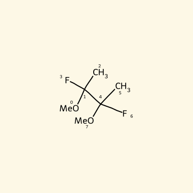 COC(C)(F)C(C)(F)OC